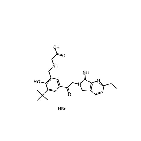 Br.CCc1ccc2c(n1)C(=N)N(CC(=O)c1cc(CNCC(=O)O)c(O)c(C(C)(C)C)c1)C2